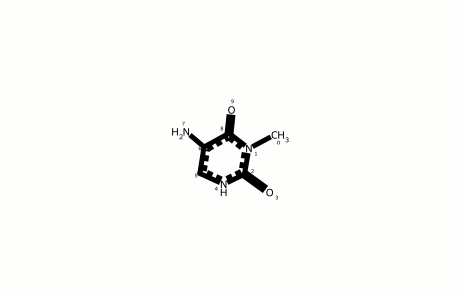 Cn1c(=O)[nH]cc(N)c1=O